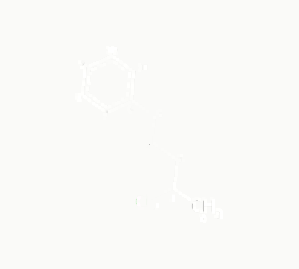 CC(Cl)CCCc1ccccc1